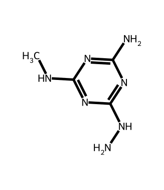 CNc1nc(N)nc(NN)n1